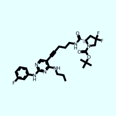 CCCNc1nc(Nc2cccc(F)c2)ncc1C#CCCCNC(=O)[C@@H]1CC(F)(F)CN1C(=O)OC(C)(C)C